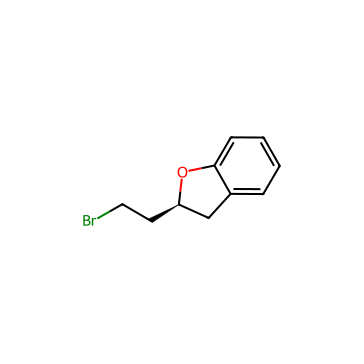 BrCC[C@@H]1Cc2ccccc2O1